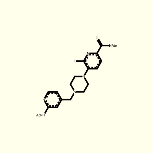 CNC(=O)c1ccc(N2CCN(Cc3ccnc(NC(C)=O)c3)CC2)c(F)n1